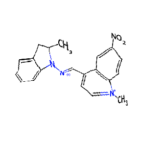 CC1Cc2ccccc2N1/N=C/c1cc[n+](C)c2ccc([N+](=O)[O-])cc12